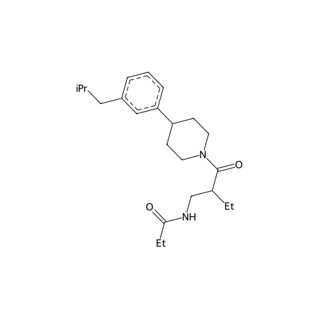 CCC(=O)NCC(CC)C(=O)N1CCC(c2cccc(CC(C)C)c2)CC1